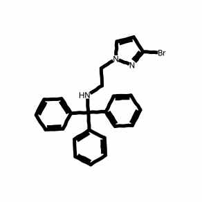 Brc1ccn(CCNC(c2ccccc2)(c2ccccc2)c2ccccc2)n1